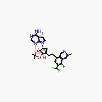 Cc1cc2c(F)c(C(F)F)cc(CCC3=C[C@@H](n4ccc5c(N)ncnc54)[C@@H]4OC(C)(C)O[C@H]34)c2cn1